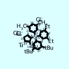 CCc1cc(CC)cc([Si](C2=CC[C]([Ti+3])=C2C(C)CC)(c2cc(C)cc(C)c2)c2cc(C(C)(C)C)cc(C(C)(C)C)c2)c1.[Cl-].[Cl-].[Cl-]